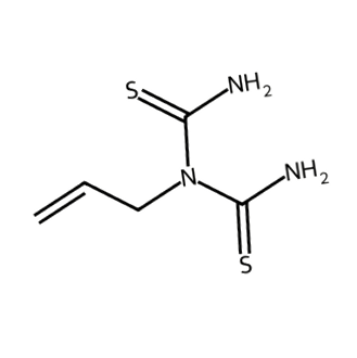 C=CCN(C(N)=S)C(N)=S